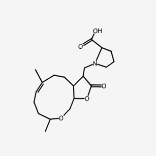 CC1=CCCC(C)OCC2OC(=O)C(CN3CCCC3C(=O)O)C2CC1